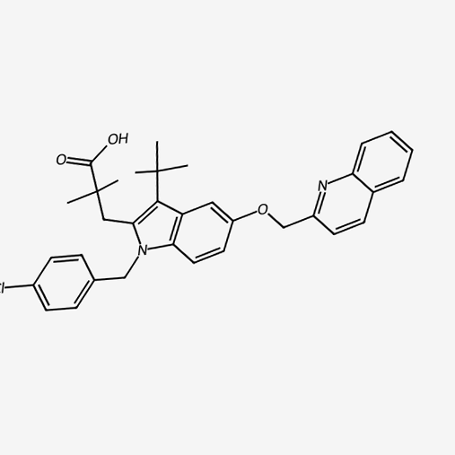 CC(C)(Cc1c(C(C)(C)C)c2cc(OCc3ccc4ccccc4n3)ccc2n1Cc1ccc(Cl)cc1)C(=O)O